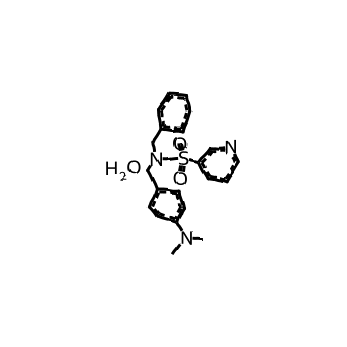 CN(C)c1ccc(CN(Cc2ccccc2)S(=O)(=O)c2cccnc2)cc1.O